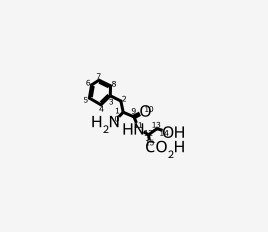 NC(Cc1ccccc1)C(=O)NC(CO)C(=O)O